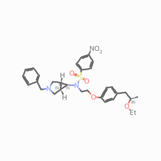 CCO[C@H](C)Cc1ccc(OCCN([C@H]2[C@@H]3CN(Cc4ccccc4)C[C@@H]32)S(=O)(=O)c2ccc([N+](=O)[O-])cc2)cc1